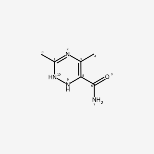 CC1=NC(C)=C(C(N)=O)NN1